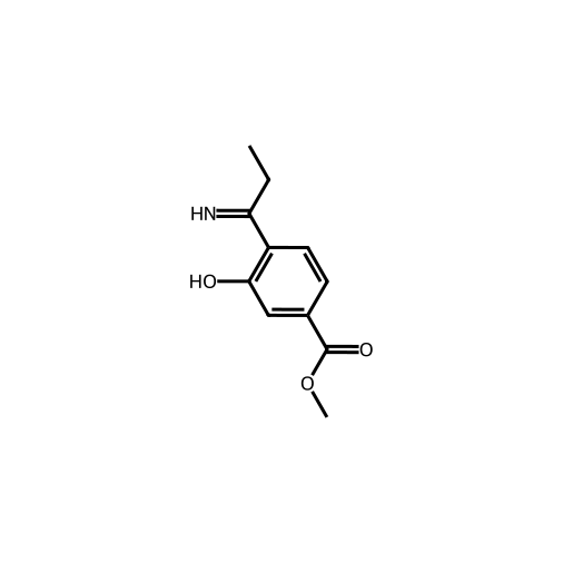 CCC(=N)c1ccc(C(=O)OC)cc1O